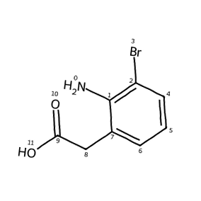 Nc1c(Br)cccc1CC(=O)O